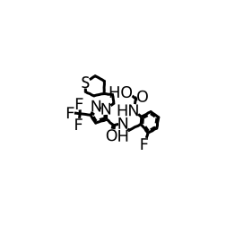 O=C(O)Nc1cccc(F)c1CNC(=O)c1cc(C(F)(F)F)nn1CCC1CCSCC1